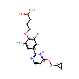 O=C(O)CCCOc1c(F)cc(-c2nccc(OCC3CC3)n2)cc1F